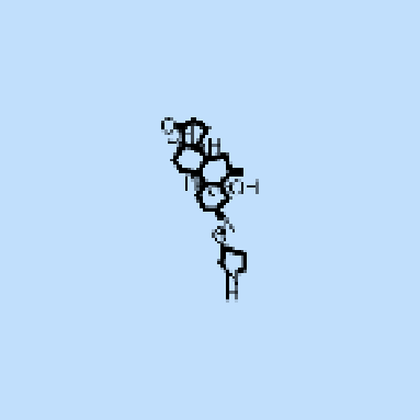 C=C1C[C@H]2[C@@H]3CCC(=O)[C@@]3(C)CC[C@@H]2[C@@]2(C)CCC(=NO[C@@H]3CCNC3)C[C@]12O